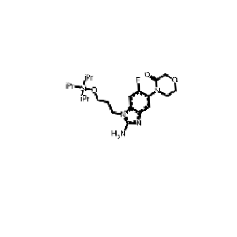 CC(C)[Si](OCCCn1c(N)nc2cc(N3CCOCC3=O)c(F)cc21)(C(C)C)C(C)C